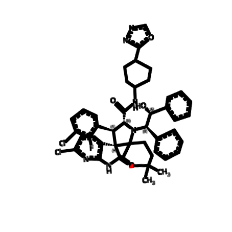 CC1(C)CCC2(CC1)N([C@H](c1ccccc1)[C@@H](O)c1ccccc1)[C@@H](C(=O)NC1CCC(c3nnco3)CC1)[C@H](c1cccc(Cl)c1F)[C@]21C(=O)Nc2nc(Cl)ccc21